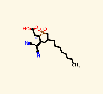 CCCCCCCCC1CC(=C(C#N)C#N)/C(=C/C(=O)O)S(=O)(=O)C1